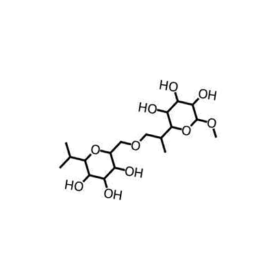 COC1OC(C(C)COCC2OC(C(C)C)C(O)C(O)C2O)C(O)C(O)C1O